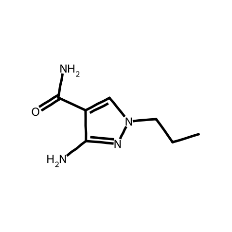 CCCn1cc(C(N)=O)c(N)n1